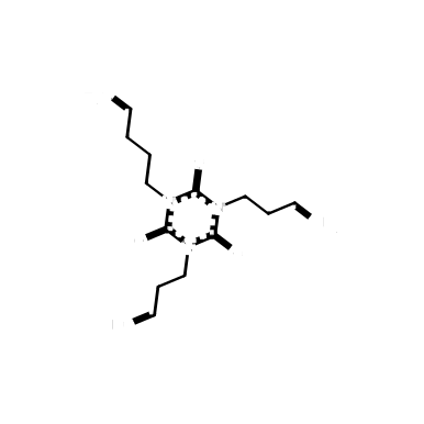 C=CCCCn1c(=O)n(CCC=C)c(=O)n(CCC=C)c1=O